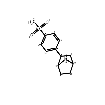 CS(=O)(=O)c1ccc(C2CC3CCC2N3)cc1